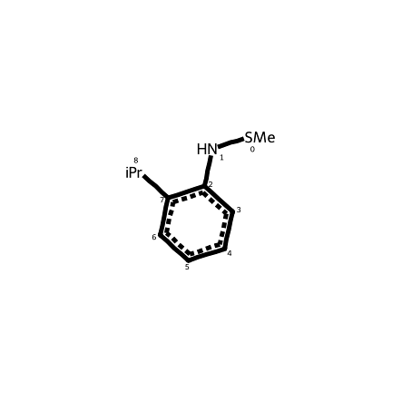 CSNc1ccccc1C(C)C